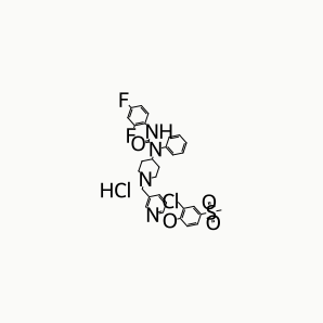 CS(=O)(=O)c1ccc(Oc2ccc(CN3CCC(N(C(=O)Nc4ccc(F)cc4F)c4ccccc4)CC3)cn2)c(Cl)c1.Cl